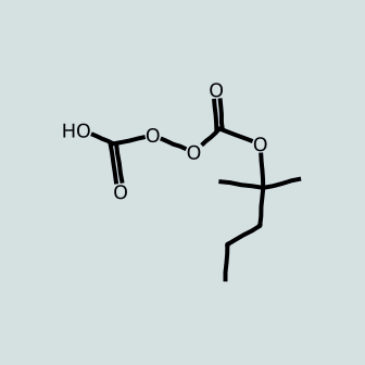 CCCC(C)(C)OC(=O)OOC(=O)O